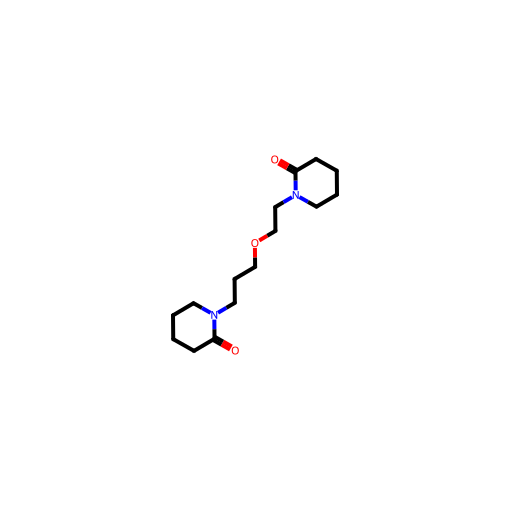 O=C1CCCCN1CCCOCCN1CCCCC1=O